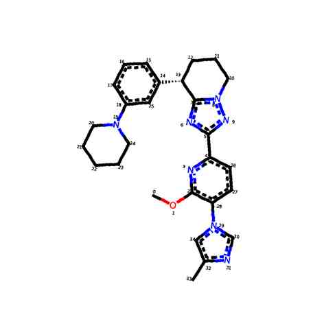 COc1nc(-c2nc3n(n2)CCC[C@H]3c2cccc(N3CCCCC3)c2)ccc1-n1cnc(C)c1